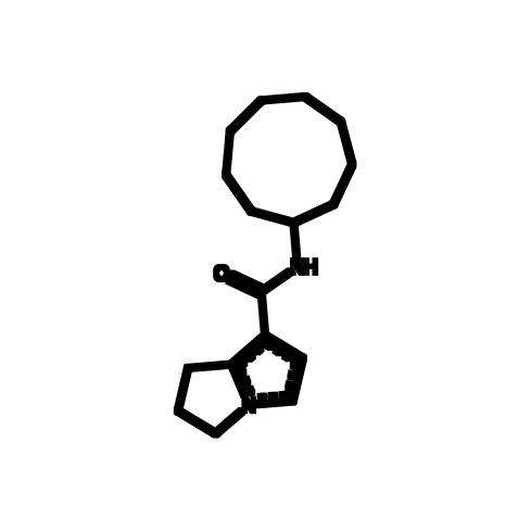 O=C(NC1CCCCCCCC1)c1ccn2c1CCC2